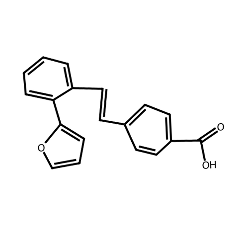 O=C(O)c1ccc(/C=C/c2ccccc2-c2ccco2)cc1